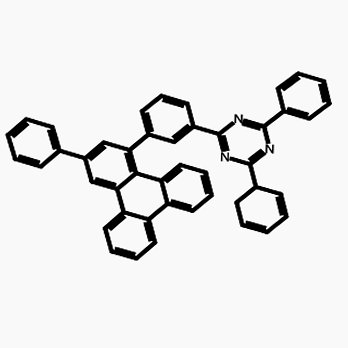 C1=CCC(c2nc(-c3ccccc3)nc(-c3cccc(-c4cc(-c5ccccc5)cc5c6ccccc6c6ccccc6c45)c3)n2)C=C1